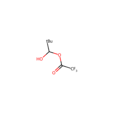 CC(C)(C)C(O)OC(=O)C(F)(F)F